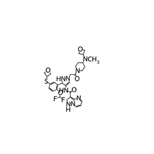 CN(C1CCN(C(=O)CN2C=C(NC(=O)C3=C4N=CC=CN4NC3)C(c3cc(SC4COC4)ccc3OC(F)F)N2)CC1)C1COC1